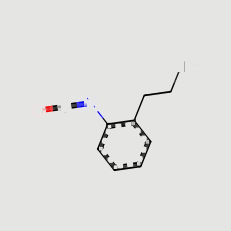 CC(C)CCc1ccccc1N=C=O